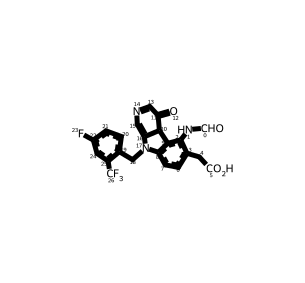 O=CNc1c(CC(=O)O)ccc2c1C1C(=O)C=NC=C1N2Cc1ccc(F)cc1C(F)(F)F